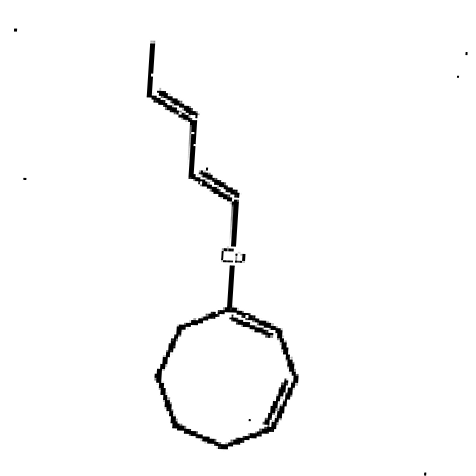 CC=CC=[CH][Co][C]1=CC=CCCCC1